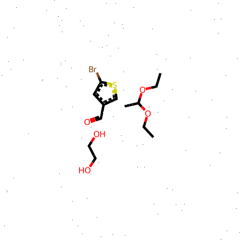 CCOC(C)OCC.O=Cc1csc(Br)c1.OCCO